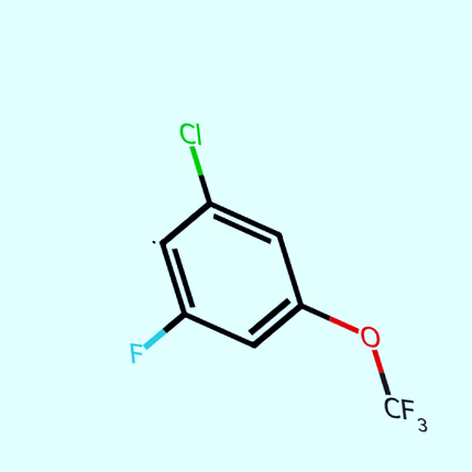 Fc1[c]c(Cl)cc(OC(F)(F)F)c1